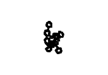 c1ccc(-c2ccc3c4ccc5c6ccccc6n6c(-c7ccccc7)nc(-c7ccccc7)c6c5c4n(-c4nc5ccccc5nc4-c4ccccc4)c3c2)cc1